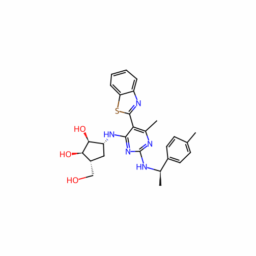 Cc1ccc([C@@H](C)Nc2nc(C)c(-c3nc4ccccc4s3)c(N[C@@H]3C[C@H](CO)[C@@H](O)[C@H]3O)n2)cc1